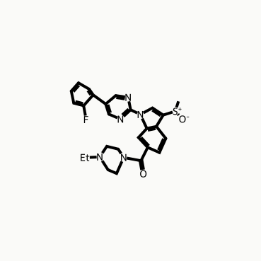 CCN1CCN(C(=O)c2ccc3c([S+](C)[O-])cn(-c4ncc(-c5ccccc5F)cn4)c3c2)CC1